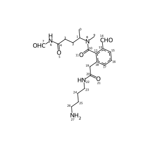 CC(CCC(=O)NC=O)N(C)C(=O)c1c(C=O)cccc1CC(=O)NCCCCN